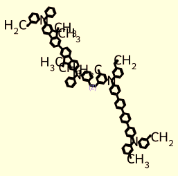 C=Cc1cccc(N(c2ccc(-c3ccc(-c4ccc(-c5ccc(N(c6cccc(C=C)c6)c6cc(C)cc(/C=C\c7cccc(N(c8ccccc8)c8ccc9c(c8)C(C)(C)c8cc(-c%10ccc%11c(c%10)C(C)(C)c%10cc(N(c%12ccccc%12)c%12cccc(C=C)c%12)ccc%10-%11)ccc8-9)c7)c6)cc5)cc4)cc3)cc2)c2cccc(C)c2)c1